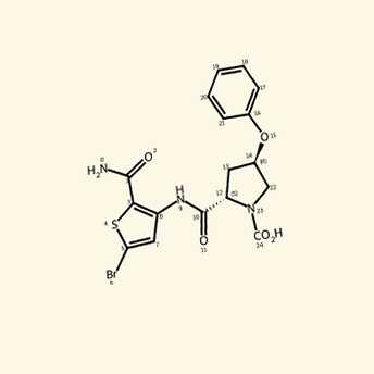 NC(=O)c1sc(Br)cc1NC(=O)[C@@H]1C[C@@H](Oc2ccccc2)CN1C(=O)O